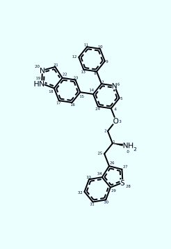 N[C@H](COc1cnc(-c2ccccc2)c(-c2ccc3[nH]ncc3c2)c1)Cc1csc2ccccc12